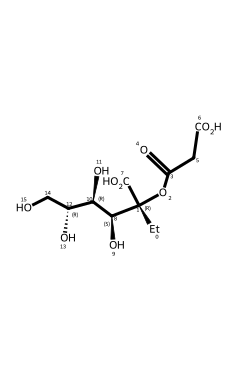 CC[C@](OC(=O)CC(=O)O)(C(=O)O)[C@@H](O)[C@H](O)[C@H](O)CO